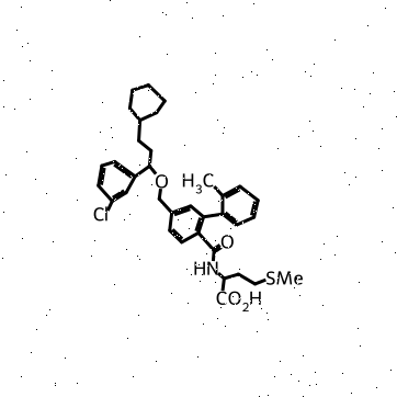 CSCCC(NC(=O)c1ccc(COC(CCC2CCCCC2)c2cccc(Cl)c2)cc1-c1ccccc1C)C(=O)O